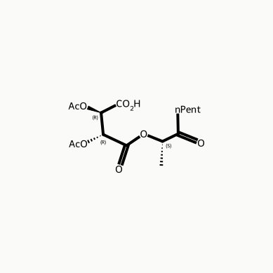 CCCCCC(=O)[C@H](C)OC(=O)[C@H](OC(C)=O)[C@@H](OC(C)=O)C(=O)O